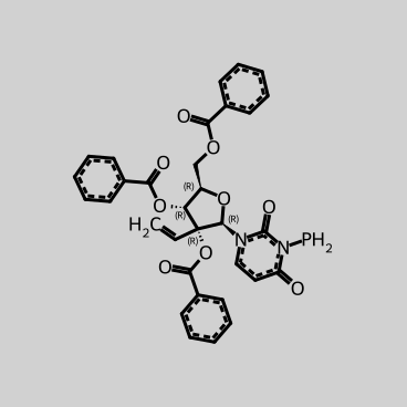 C=C[C@@]1(OC(=O)c2ccccc2)[C@H](OC(=O)c2ccccc2)[C@@H](COC(=O)c2ccccc2)O[C@H]1n1ccc(=O)n(P)c1=O